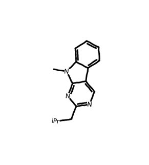 CC(C)Cc1ncc2c3ccccc3n(C)c2n1